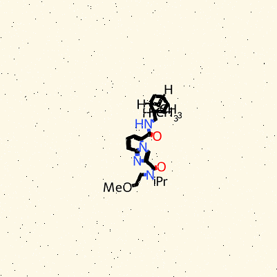 COCCN(C(=O)c1cn2c(C(=O)NC[C@@H]3CC[C@H]4C[C@@H]3C4(C)C)cccc2n1)C(C)C